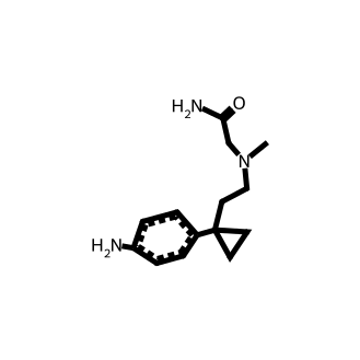 CN(CCC1(c2ccc(N)cc2)CC1)CC(N)=O